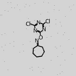 Clc1nc(Cl)nc(ON=C2CCCCCC2)n1